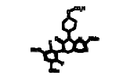 CNc1ncc2c(n1)N(C1CCN(OC(=O)O)CC1)C(=O)N(c1c(F)c(OC)cc(OC)c1F)C2